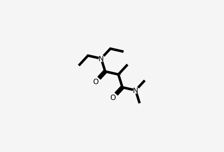 CCN(CC)C(=O)[C](C)C(=O)N(C)C